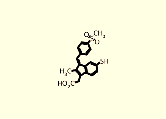 CC1=C(CC(=O)O)c2ccc(S)cc2C1=Cc1ccc(S(C)(=O)=O)cc1